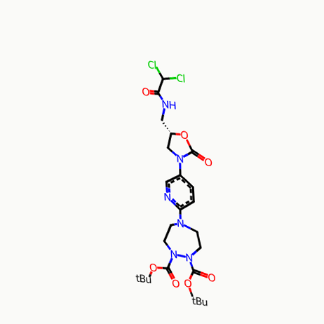 CC(C)(C)OC(=O)N1CCN(c2ccc(N3C[C@H](CNC(=O)C(Cl)Cl)OC3=O)cn2)CCN1C(=O)OC(C)(C)C